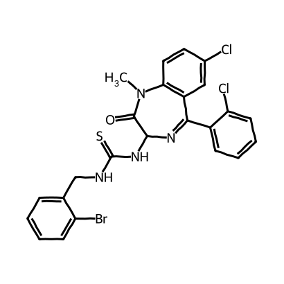 CN1C(=O)C(NC(=S)NCc2ccccc2Br)N=C(c2ccccc2Cl)c2cc(Cl)ccc21